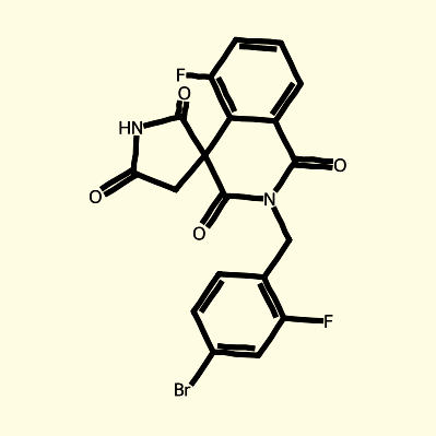 O=C1CC2(C(=O)N1)C(=O)N(Cc1ccc(Br)cc1F)C(=O)c1cccc(F)c12